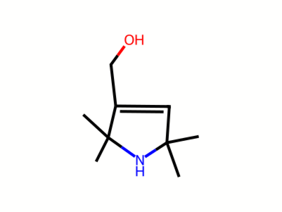 CC1(C)C=C(CO)C(C)(C)N1